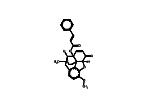 COc1ccc2c3c1O[C@H]1C(=O)C=C[C@@]4(OC(=O)C=Cc5ccccc5)[C@@H](C2)N(C)CC[C@]314